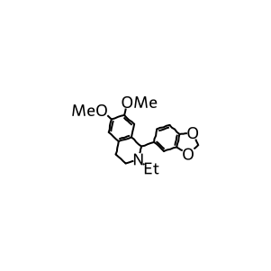 CCN1CCc2cc(OC)c(OC)cc2C1c1ccc2c(c1)OCO2